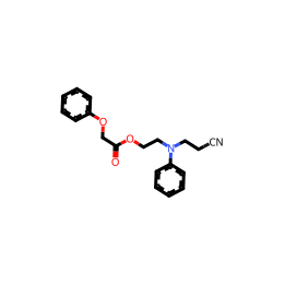 N#CCCN(CCOC(=O)COc1ccccc1)c1ccccc1